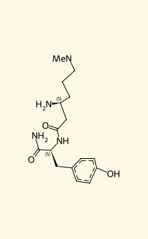 CNCCC[C@H](N)CC(=O)N[C@@H](Cc1ccc(O)cc1)C(N)=O